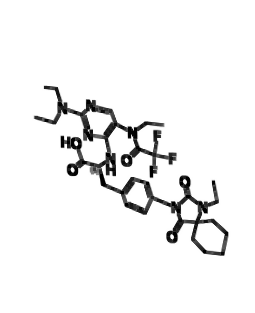 CCN(CC)c1ncc(N(CC)C(=O)C(F)(F)F)c(N[C@@H](Cc2ccc(N3C(=O)N(CC)C4(CCCCC4)C3=O)cc2)C(=O)O)n1